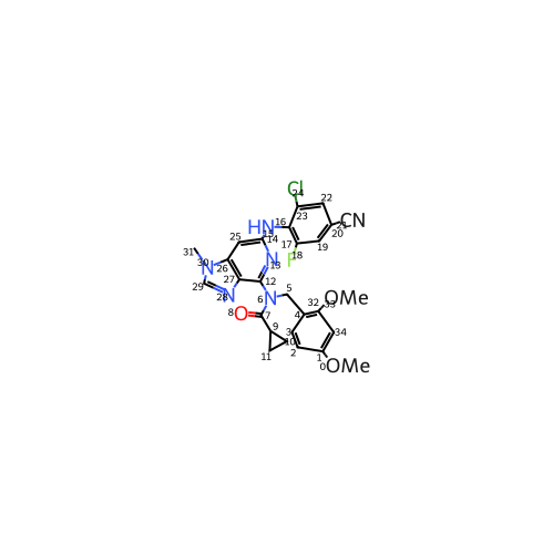 COc1ccc(CN(C(=O)C2CC2)c2nc(Nc3c(F)cc(C#N)cc3Cl)cc3c2ncn3C)c(OC)c1